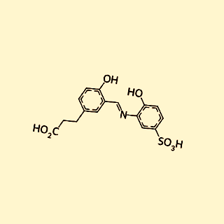 O=C(O)CCc1ccc(O)c(C=Nc2cc(S(=O)(=O)O)ccc2O)c1